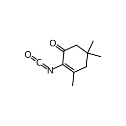 CC1=C(N=C=O)C(=O)CC(C)(C)C1